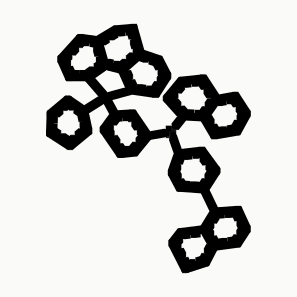 c1ccc(C2(c3cccc(N(c4ccc(-c5cccc6ccccc56)cc4)c4cccc5ccccc45)c3)c3cccc4ccc5cccc2c5c34)cc1